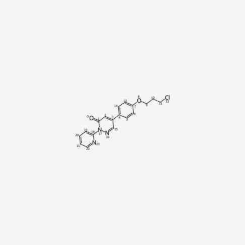 O=c1cc(-c2ccc(OCCCCl)cc2)cnn1-c1ccccn1